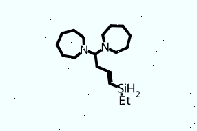 CC[SiH2]C=CCC(N1CCCCCC1)N1CCCCCC1